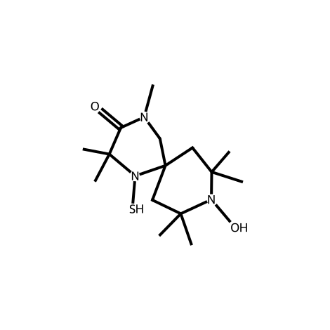 CN1CC2(CC(C)(C)N(O)C(C)(C)C2)N(S)C(C)(C)C1=O